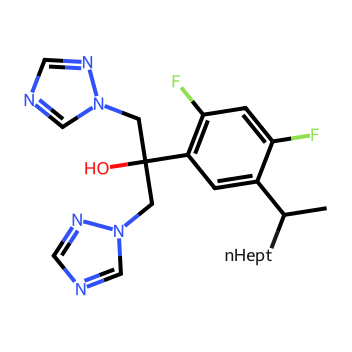 CCCCCCCC(C)c1cc(C(O)(Cn2cncn2)Cn2cncn2)c(F)cc1F